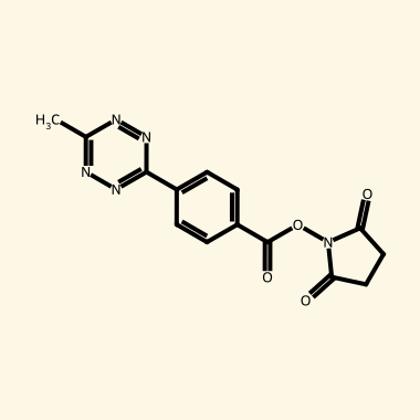 Cc1nnc(-c2ccc(C(=O)ON3C(=O)CCC3=O)cc2)nn1